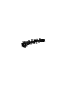 OCCCCCCCCCOCc1ccccc1